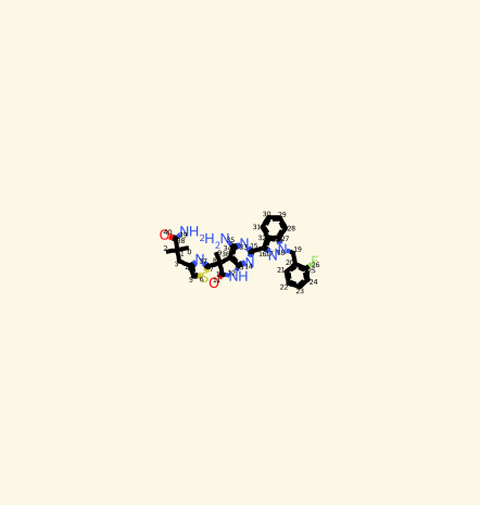 CC(C)(Cc1csc(C2(C)C(=O)Nc3nc(-c4nn(Cc5ccccc5F)c5ccccc45)nc(N)c32)n1)C(N)=O